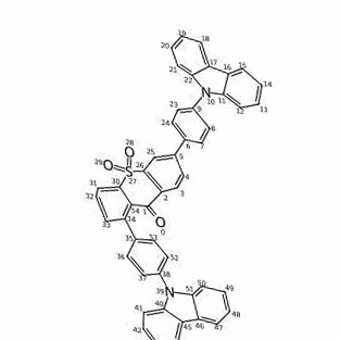 O=C1c2ccc(-c3ccc(-n4c5ccccc5c5ccccc54)cc3)cc2S(=O)(=O)c2cccc(-c3ccc(-n4c5ccccc5c5ccccc54)cc3)c21